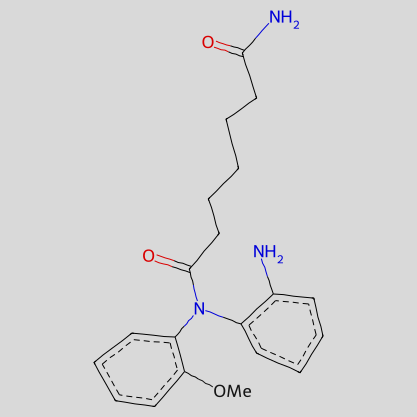 COc1ccccc1N(C(=O)CCCCCC(N)=O)c1ccccc1N